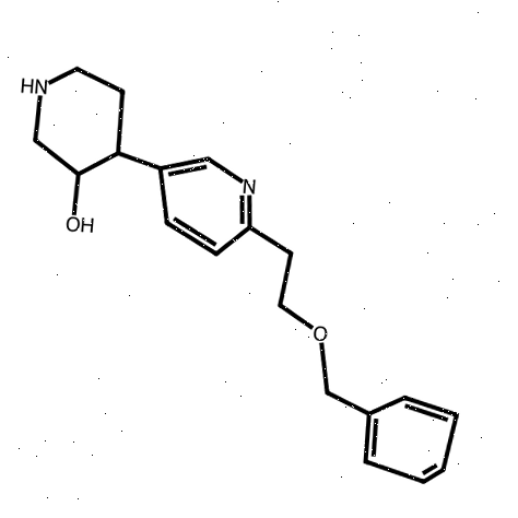 OC1CNCCC1c1ccc(CCOCc2ccccc2)nc1